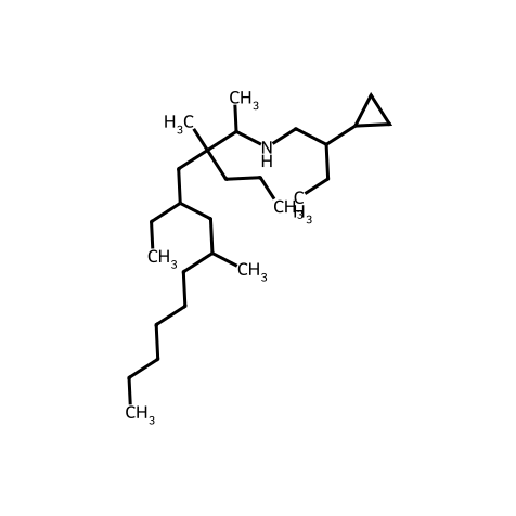 CCCCCCC(C)CC(CC)CC(C)(CCC)C(C)NCC(CC)C1CC1